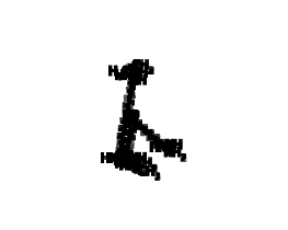 C=C(CC)NC(=N)NCCCCCCCCCN(CCCCCCCCCNC(=N)N)C(=O)N(CCCCCCCCCNC(=N)N)CCCCCCCCCNC(=N)NC(=C)CC